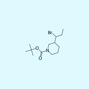 CCC(Br)C1CCCN(C(=O)OC(C)(C)C)C1